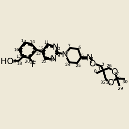 CC1(CON=C2CCN(c3ncc(-c4cccc(CO)c4F)cn3)CC2)COC(C)(C)OC1